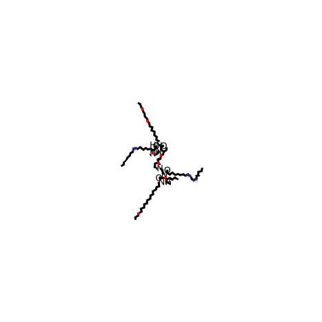 CCCCC/C=C\C/C=C\CCCCCCCC(=O)N(CCN1CCCC(CCCCC(CC)C(C(=O)NCCCCCCCCCCCCCCCCCC)N(CCN(C)C)C(=O)CCCCCCC/C=C\CCCCCCCC)C1)C(C(=O)NCCCCCCCCCCCCCCCCCC)C(CC)CCCC